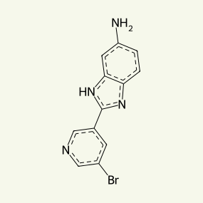 Nc1ccc2nc(-c3cncc(Br)c3)[nH]c2c1